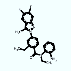 CCc1cc(-n2nc3cc(F)c(F)cc3c2C)ccc1C(=O)N(CC)c1ccccc1N